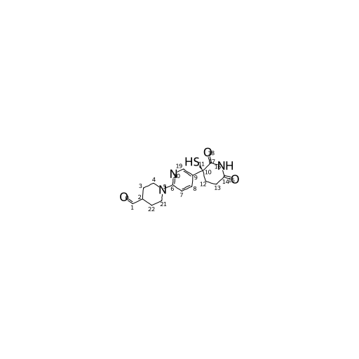 O=CC1CCN(c2ccc([C@@]3(S)CCC(=O)NC3=O)cn2)CC1